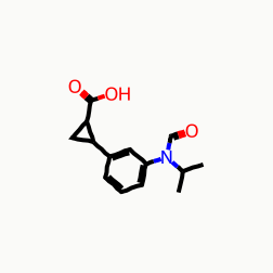 CC(C)N(C=O)c1cccc(C2CC2C(=O)O)c1